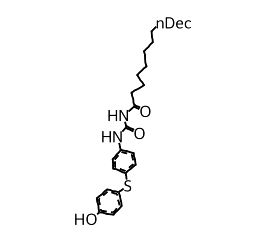 CCCCCCCCCCCCCCCCCC(=O)NC(=O)Nc1ccc(Sc2ccc(O)cc2)cc1